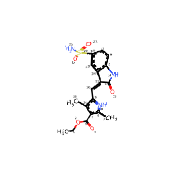 CCOC(=O)c1c(C)[nH]c(C=C2C(=O)Nc3ccc(S(N)(=O)=O)cc32)c1C